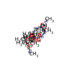 C/C=C/CC(=O)O[C@@H]1[C@H](C)/C=C(C)/C=C(\OC)C(=O)O[C@H]([C@@H](C)[C@@H](O)[C@H](C)[C@@]2(O)C[C@@H](OC(=O)C/C=C/C)[C@H](C)[C@@H](C(C)C)O2)[C@@H](OC)/C=C/C=C(\C)C[C@@H]1C